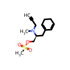 C#CCN(C)[C@H](COS(C)(=O)=O)CC1=CCCC=C1